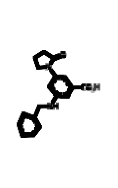 O=C(O)c1cc(NCc2ccccc2)cc(N2CCCC2=O)c1